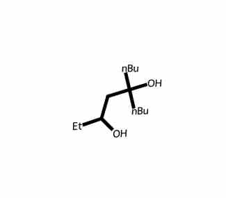 CCCCC(O)(CCCC)CC(O)CC